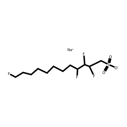 O=S(=O)([O-])CC(F)C(F)C(F)CCCCCCCCF.[Na+]